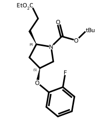 CCOC(=O)CC[C@@H]1C[C@H](Oc2ccccc2F)CN1C(=O)OC(C)(C)C